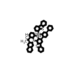 CC1(C)c2cc3ccccc3cc2N2c3c(cccc31)Bc1c(-c3ccc(-c4ccccc4)cc3Nc3cccc4c3sc3ccccc34)cc3c(sc4ccccc43)c12